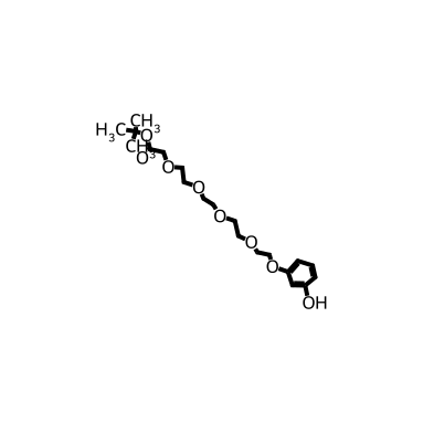 CC(C)(C)OC(=O)COCCOCCOCCOCCOc1cccc(O)c1